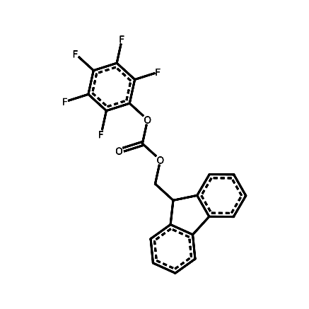 O=C(OCC1c2ccccc2-c2ccccc21)Oc1c(F)c(F)c(F)c(F)c1F